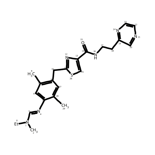 CCN(C)C=Nc1cc(C)c(Cc2nc(C(=O)NCCc3cnccn3)cs2)cc1C